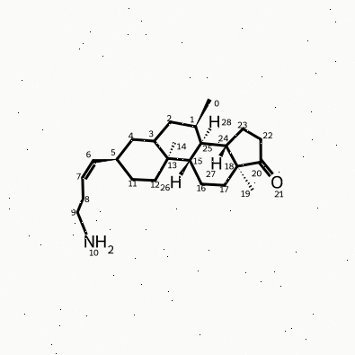 C[C@@H]1CC2C[C@H](/C=C\CCN)CC[C@]2(C)[C@H]2CC[C@]3(C)C(=O)CC[C@H]3[C@H]12